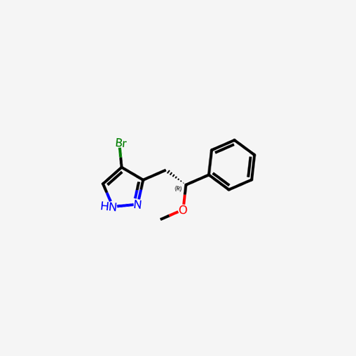 CO[C@H](Cc1n[nH]cc1Br)c1ccccc1